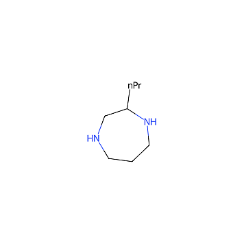 [CH2]CCC1CNCCCN1